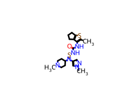 Cc1sc2c(c1NC(=O)NSN(c1cnn(C)c1)C1CCN(C)CC1)CCC2